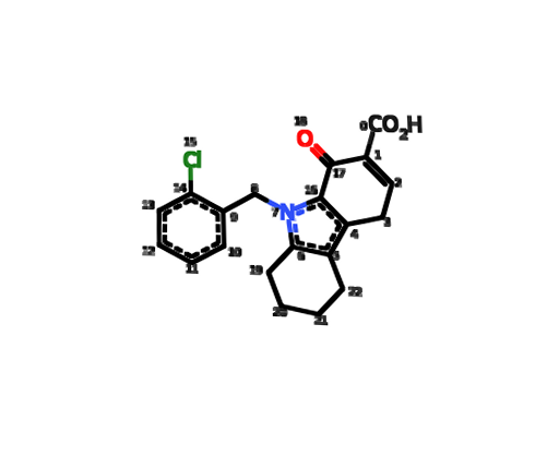 O=C(O)C1=CCc2c3c(n(Cc4ccccc4Cl)c2C1=O)CCCC3